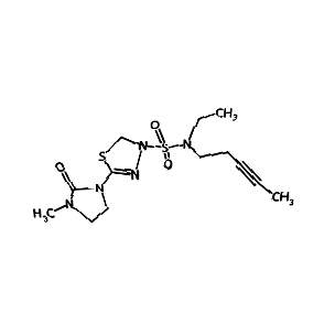 CC#CCCN(CC)S(=O)(=O)N1CSC(N2CCN(C)C2=O)=N1